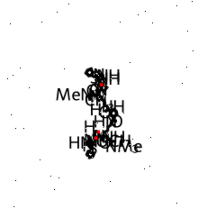 CN[C@@H](C)C(=O)N[C@@H](CCCCNC(=O)c1cccc(C(=O)NCCCC[C@H](NC(=O)[C@H](C)NC)C(=O)N2CCC[C@H]2CN2NNN=C2Sc2ccccc2)c1)C(=O)N1CCC[C@H]1CN1NNN=C1Sc1ccccc1